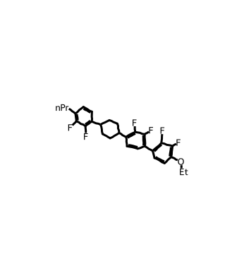 CCCc1ccc(C2CCC(c3ccc(-c4ccc(OCC)c(F)c4F)c(F)c3F)CC2)c(F)c1F